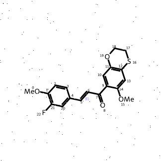 COc1ccc(/C=C/C(=O)c2cc3c(cc2OC)SCCO3)cc1F